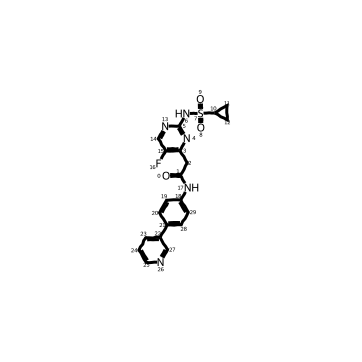 O=C(Cc1nc(NS(=O)(=O)C2CC2)ncc1F)Nc1ccc(-c2cccnc2)cc1